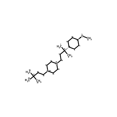 CO[C@H]1CC[C@H](C(C)(C)CCN2CCN(CCC(C)(C)C)CC2)CC1